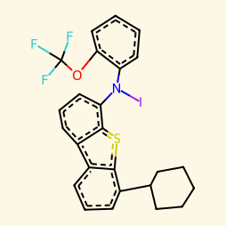 FC(F)(F)Oc1ccccc1N(I)c1cccc2c1sc1c(C3CCCCC3)cccc12